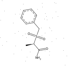 C[C@H](C(N)=O)S(=O)(=O)Cc1ccccc1